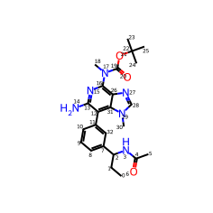 CCC(NC(C)=O)c1cccc(-c2c(N)nc(N(C)C(=O)OC(C)(C)C)c3ncn(C)c23)c1